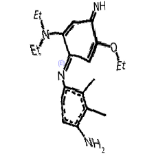 CCOC1=C/C(=N\c2ccc(N)c(C)c2C)C(N(CC)CC)=CC1=N